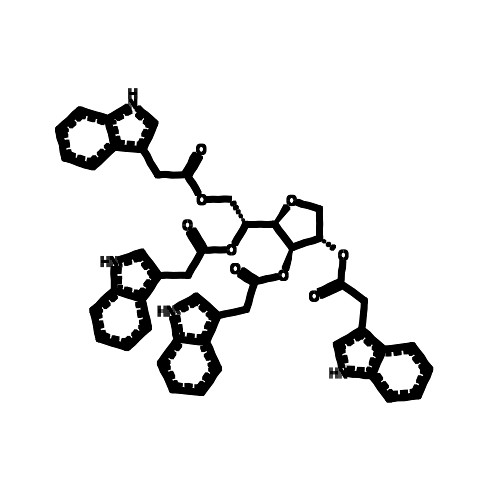 O=C(Cc1c[nH]c2ccccc12)OC[C@@H](OC(=O)Cc1c[nH]c2ccccc12)[C@H]1OC[C@H](OC(=O)Cc2c[nH]c3ccccc23)[C@H]1OC(=O)Cc1c[nH]c2ccccc12